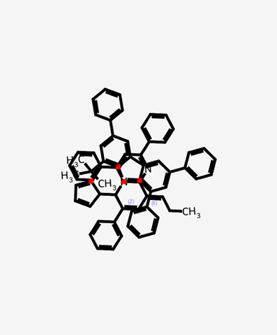 CC/C=C(\C=C(\c1ccccc1)C(C1C=CC=C1)n1c2c(-c3ccccc3)cc(-c3ccccc3)cc2c2cc(-c3ccccc3)cc(C(C)(C)C)c21)c1nc(-c2ccccc2)cc(-c2ccccc2)n1